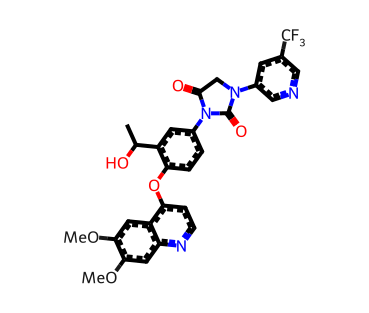 COc1cc2nccc(Oc3ccc(N4C(=O)CN(c5cncc(C(F)(F)F)c5)C4=O)cc3C(C)O)c2cc1OC